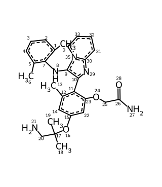 Cc1cccc(C)c1Nc1c(-c2c(C)cc(OC(C)(C)CN)cc2OCC(N)=O)nc2ccccn12